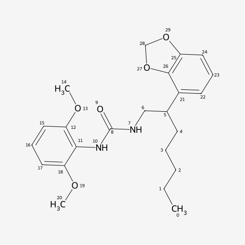 CCCCCC(CNC(=O)Nc1c(OC)cccc1OC)c1cccc2c1OCO2